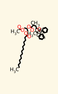 CCCCCCCCCCCCCCCC(=O)OCC(COC(C)=O)OC(=O)C(C)CCO[Si](c1ccccc1)(c1ccccc1)C(C)(C)C